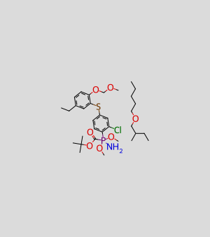 CCCCCOCC(C)CC.CCc1ccc(OCOC)c(Sc2ccc(P(N)(OC)(OC)C(=O)OC(C)(C)C)c(Cl)c2)c1